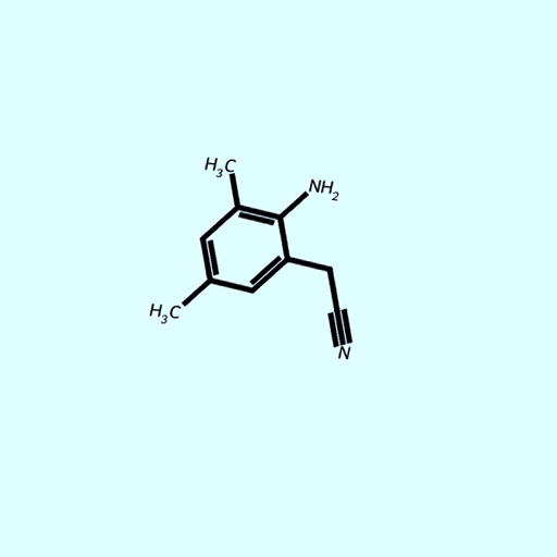 Cc1cc(C)c(N)c(CC#N)c1